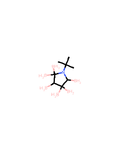 BC1N(C(C)(C)C)C(B)(B)C(B)C1(B)B